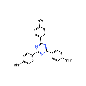 CCCc1ccc(-c2nc(-c3ccc(CCC)cc3)nc(-c3ccc(CCC)cc3)n2)cc1